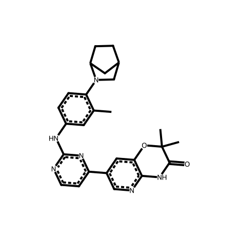 Cc1cc(Nc2nccc(-c3cnc4c(c3)OC(C)(C)C(=O)N4)n2)ccc1N1CC2CCC1C2